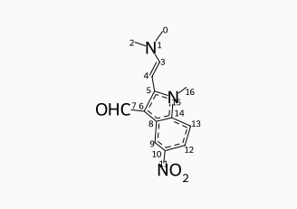 CN(C)/C=C/c1c(C=O)c2cc([N+](=O)[O-])ccc2n1C